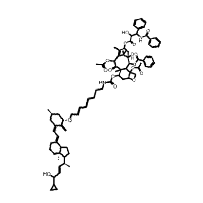 C=C1/C(=C\C=C2/CCC[C@@]3(C)C2CCC3[C@@H](C)/C=C/C(O)C2CC2)C[C@@H](C)C[C@@H]1OCCCCCCCCNC(=O)OC1CC2OCC2(OC(C)=O)C2C(OC(=O)c3ccccc3)C3(O)CC(OC(=O)C(O)C(NC(=O)c4ccccc4)c4ccccc4)C(C)=C(C(OC(C)=O)C(=O)C12C)C3(C)C